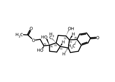 CC(=O)OC[C@H](O)[C@@]1(O)CC[C@H]2[C@@H]3CCC4=CC(=O)C=C[C@]4(C)[C@H]3[C@@H](O)C[C@@]21C